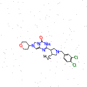 CC1CN(Cc2ccc(Cl)c(Cl)c2)CC1C1=NC2=CN(C3CCOCC3)CN2C(=O)N1